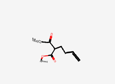 C=CCCC(C(=O)OC)C(=O)OCCCCC